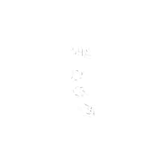 CC(=O)NC(C)Cc1ccc(-c2ccc(-c3cnco3)cc2)cc1